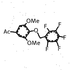 COc1cc(C(C)=O)cc(OC)c1OCc1c(F)c(F)c(F)c(F)c1F